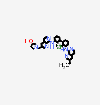 C=Cc1cnc2c(Nc3cccc(-c4cccc(Nc5nccc6cc(CN7CCC(O)C7)cnc56)c4C)c3Cl)nccc2c1